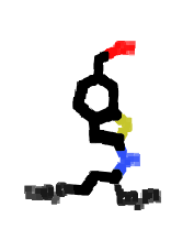 CCOC(=O)CC[C@H](Nc1cc2c(s1)CC(CO)CC2)C(=O)OCC